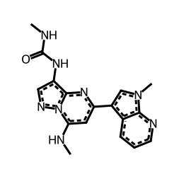 CNC(=O)Nc1cnn2c(NC)cc(-c3cn(C)c4ncccc34)nc12